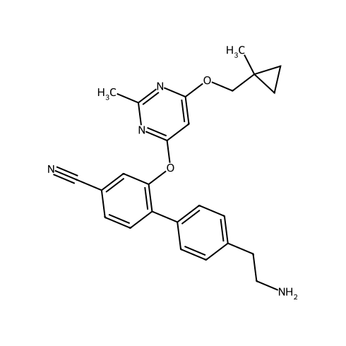 Cc1nc(OCC2(C)CC2)cc(Oc2cc(C#N)ccc2-c2ccc(CCN)cc2)n1